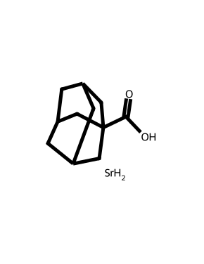 O=C(O)C12CC3CC(CC(C3)C1)C2.[SrH2]